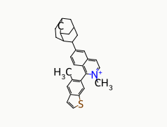 Cc1cc2ccsc2cc1-c1c2ccc(C3CC4CC5CCC3C(C5)C4)cc2cc[n+]1C